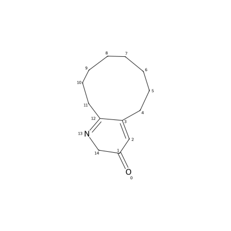 O=C1C=C2CCCCCCCCC2=NC1